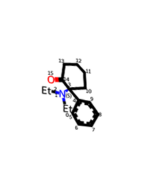 CCN(CC)[C@]1(c2ccccc2)CCCCC1=O